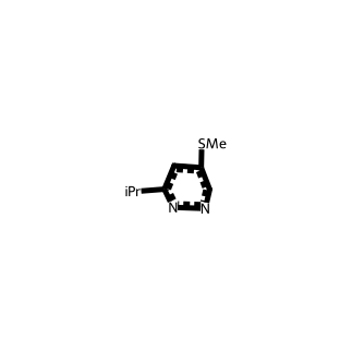 CSc1cnnc(C(C)C)c1